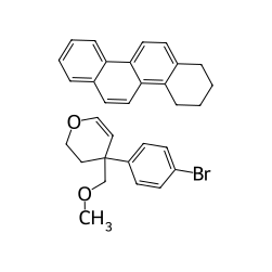 COCC1(c2ccc(Br)cc2)C=COCC1.c1ccc2c(c1)ccc1c3c(ccc12)CCCC3